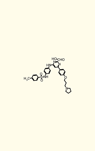 Cc1ccc(S(=O)(=O)Nc2ccc(Nc3cc(-c4ccc(OCCCN5CCCC5)cc4)ncn3)cc2)cc1.O=CO